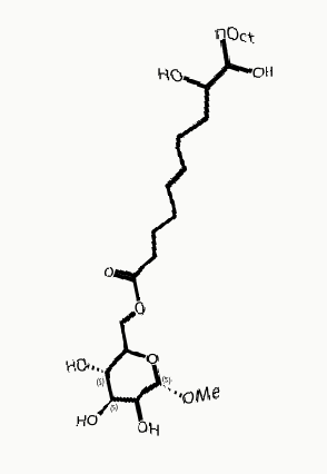 CCCCCCCCC(O)C(O)CCCCCCCC(=O)OCC1O[C@H](OC)C(O)[C@@H](O)[C@@H]1O